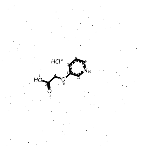 Cl.O=C(O)COc1cccnc1